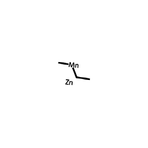 C[CH2][Mn][CH3].[Zn]